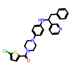 O=C(c1ccc(Cl)s1)N1CCN(c2ccc(NC(Cc3ccccc3)c3cccnc3)cc2)CC1